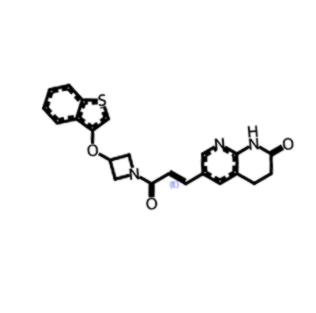 O=C1CCc2cc(/C=C/C(=O)N3CC(Oc4csc5ccccc45)C3)cnc2N1